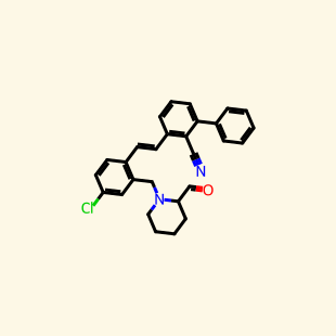 N#Cc1c(/C=C/c2ccc(Cl)cc2CN2CCCCC2C=O)cccc1-c1ccccc1